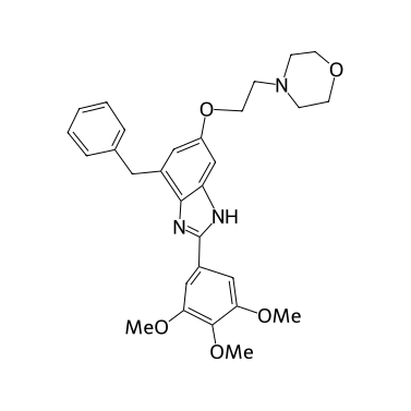 COc1cc(-c2nc3c(Cc4ccccc4)cc(OCCN4CCOCC4)cc3[nH]2)cc(OC)c1OC